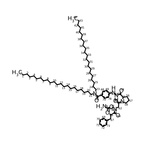 CCCCCCCCCCCCCCCCCCCCCCN(CCCCCCCCCCCCCCCCCCCCCC)C(=O)c1ccc(NNC(=O)C2CCCN2C(=O)CNC(=O)C(Cc2ccccc2)OC(N)=O)cc1